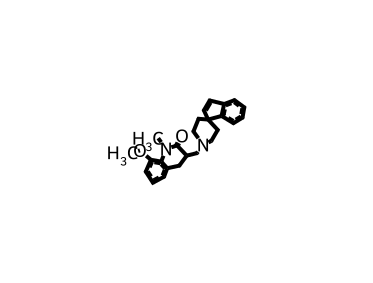 COc1cccc2c1N(C)C(=O)C(CN1CCC3(C=Cc4ccccc43)CC1)C2